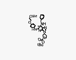 COCCOc1ccc(Nc2nc(NCc3ccccc3)c3ncn(C4CCN(C(=O)OC(C)(C)C)C4)c3n2)cc1